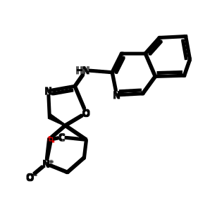 [O-][N+]12CCC(CC1)[C@]1(CN=C(Nc3cc4ccccc4cn3)O1)C2